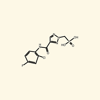 O=C(Nc1ccc(F)cc1Cl)c1cnn(CP(=O)(O)O)n1